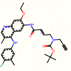 C#CCN(C/C=C/C(=O)Nc1cc2c(Nc3ccc(F)c(C)c3)c(C)cnc2cc1OCC)C(=O)OC(C)(C)C